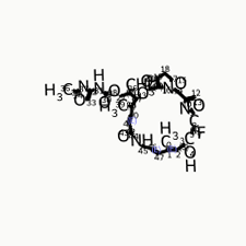 CC1=C\[C@@H](O)C[C@@H](F)Cc2nc(co2)C(=O)N2CCC[C@@H]2C(=O)O[C@H]([C@H](C)COC(=O)Nc2coc(C)n2)[C@H](C)/C=C/C(=O)NC\C=C\1